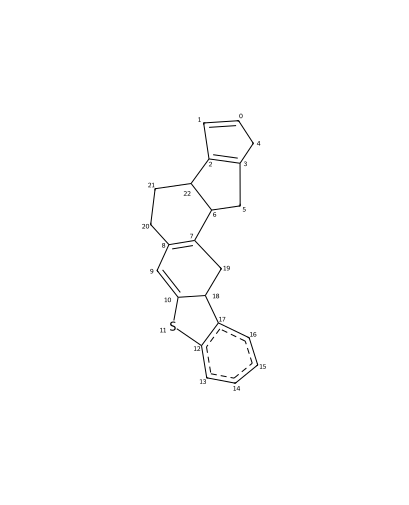 C1=CC2=C(C1)CC1C3=C(C=C4Sc5ccccc5C4C3)CCC21